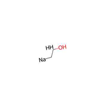 OC[CH2][Na].[HH]